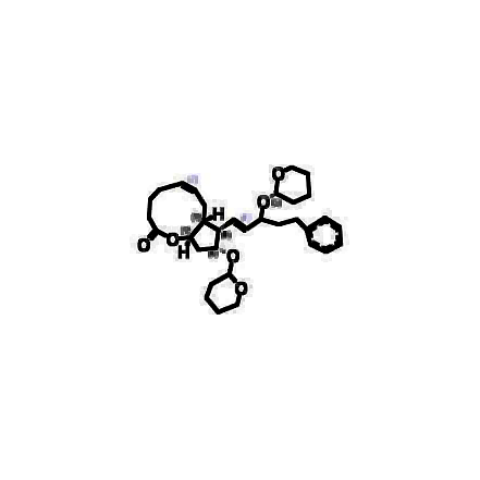 O=C1CCC/C=C\C[C@@H]2[C@@H](/C=C/C(CCc3ccccc3)O[C@H]3CCCCO3)[C@H](OC3CCCCO3)C[C@@H]2O1